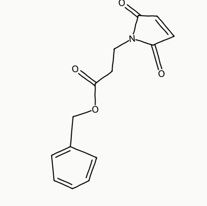 O=C(CCN1C(=O)C=CC1=O)OCc1ccccc1